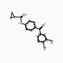 O=C(c1ccc(OC(=O)C2CC2)cc1)c1ccc(Br)c(Br)c1